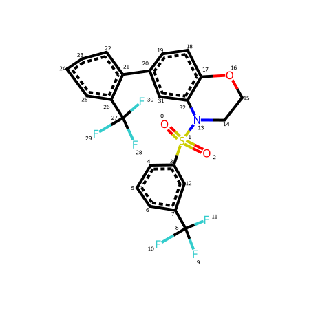 O=S(=O)(c1cccc(C(F)(F)F)c1)N1CCOc2ccc(-c3ccccc3C(F)(F)F)cc21